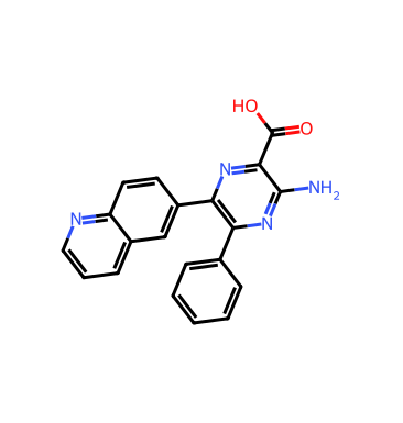 Nc1nc(-c2ccccc2)c(-c2ccc3ncccc3c2)nc1C(=O)O